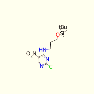 CC(C)(C)[Si](C)(C)OCCCNc1nc(Cl)ncc1[N+](=O)[O-]